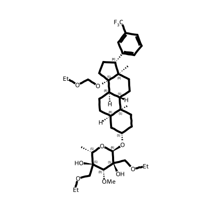 CCOCO[C@]12CC[C@H](c3cccc(C(F)(F)F)c3)[C@@]1(C)CC[C@H]1[C@H]2CC[C@@H]2C[C@@H](O[C@@H]3O[C@@H](C)[C@@](O)(COCC)[C@@H](OC)[C@@]3(O)COCC)CC[C@@]21C